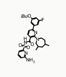 CC(C)COc1cc(F)cc(-c2ccc(C(=O)NS(=O)(=O)c3cccc(N)n3)c(N3CCC(C)CC(C)C3)n2)c1